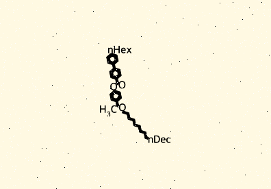 CCCCCCCCCCCCCCCCCCCOC(C)c1ccc(OC(=O)c2ccc(-c3ccc(CCCCCC)cc3)cc2)cc1